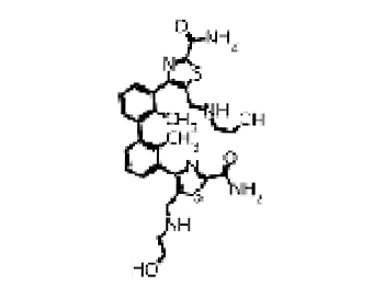 Cc1c(-c2cccc(-c3nc(C(N)=O)sc3CNCCO)c2C)cccc1-c1nc(C(N)=O)sc1CNCCO